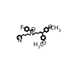 COc1ccc(C(=CCCCN(CCCCc2cccnc2)C(=O)c2ccc(F)cc2)c2ccc(OC)cc2)cc1